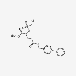 CC(C)(C)OC(=O)C(CCC(=O)OCc1ccc(-c2ccccc2)cc1)OS(=O)(=O)CCl